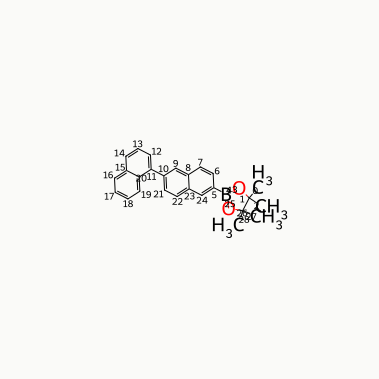 CC1(C)OB(c2ccc3cc(-c4cccc5ccccc45)ccc3c2)OC1(C)C